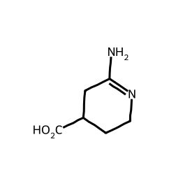 NC1=NCCC(C(=O)O)C1